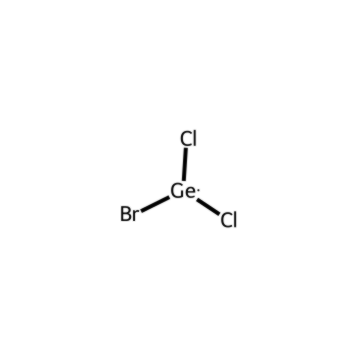 [Cl][Ge]([Cl])[Br]